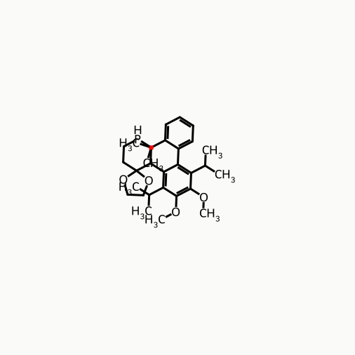 COc1c(OC)c(C(C)C)c(C2CPCCC23OCCO3)c(-c2ccccc2C(C)C)c1C(C)C